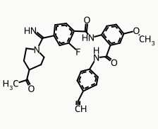 C#Cc1ccc(NC(=O)c2cc(OC)ccc2NC(=O)c2ccc(C(=N)N3CCC(C(C)=O)CC3)cc2F)cc1